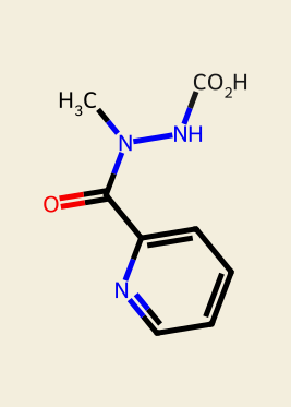 CN(NC(=O)O)C(=O)c1ccccn1